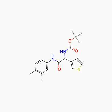 Cc1ccc(NC(=O)C(NC(=O)OC(C)(C)C)c2ccsc2)cc1C